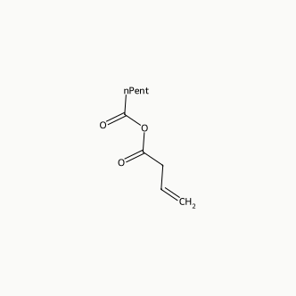 C=CCC(=O)OC(=O)CCCCC